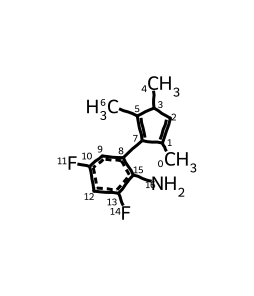 CC1=CC(C)C(C)=C1c1cc(F)cc(F)c1N